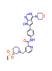 C=CS(=O)(=O)[C@@H]1CCCN(Cc2ccnc(C(=O)Nc3ccc(-c4cc5c(N6CCOCC6)ncnc5[nH]4)cc3)c2)C1